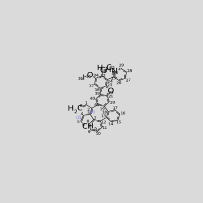 C=C/C1=C(\C=C/C)c2ccccc2-c2ccccc2-c2cc3oc4c(-c5cccc[n+]5C)c(C)c(OI)cc4c3cc21